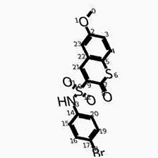 COc1ccc2sc(=O)c(S(=O)(=O)Nc3ccc(Br)cc3)cc2c1